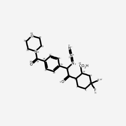 [N-]=[N+]=NC(C(=O)C1CCC(F)(F)CC1C(=O)O)c1ccc(C(=O)N2CCOCC2)cc1